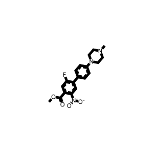 COC(=O)c1cc(F)c(-c2ccc(N3CCN(C)CC3)cc2)cc1[N+](=O)[O-]